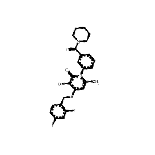 Cc1cc(OCc2ccc(F)cc2F)c(Br)c(=O)n1-c1cccc(C(=O)N2CCCCC2)c1